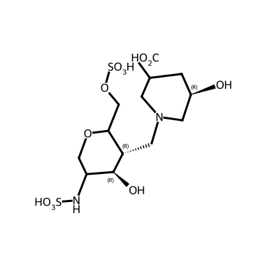 O=C(O)C1C[C@@H](O)CN(C[C@H]2C(COS(=O)(=O)O)OCC(NS(=O)(=O)O)[C@@H]2O)C1